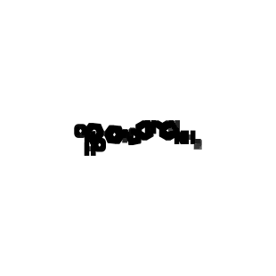 Nc1ccc(CN2CCC3(CC2)CCN(c2ccc([C@H]4CCC(=O)NC4=O)cc2)C3)cn1